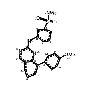 CNS(=O)(=O)c1cccc(Nc2ncc3cccc(-c4ccc(OC)cc4)c3n2)c1